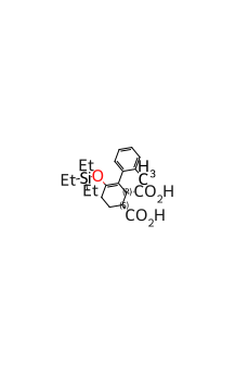 CC[Si](CC)(CC)OC1=C(c2ccccc2C)[C@H](C(=O)O)[C@@H](C(=O)O)CC1